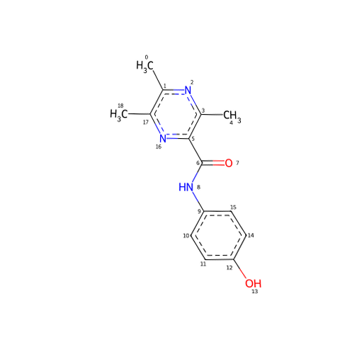 Cc1nc(C)c(C(=O)Nc2ccc(O)cc2)nc1C